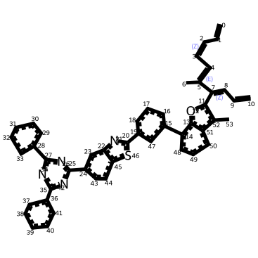 C=C\C=C/C=C(C)/C(=C/C=C)c1oc2c(-c3cccc(-c4nc5cc(-c6nc(-c7ccccc7)nc(-c7ccccc7)n6)ccc5s4)c3)cccc2c1C